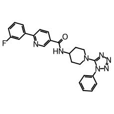 O=C(NC1CCN(c2nnnn2-c2ccccc2)CC1)c1ccc(-c2cccc(F)c2)nc1